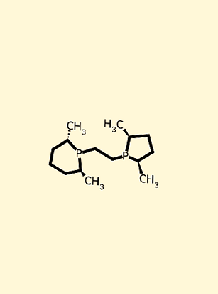 C[C@@H]1CC[C@H](C)P1CCP1[C@@H](C)CCC[C@@H]1C